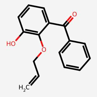 C=CCOc1c(O)cccc1C(=O)c1ccccc1